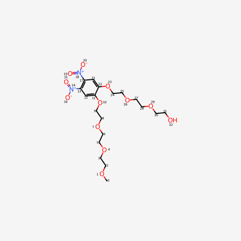 COCCOCCOCCOc1cc([N+](=O)[O-])c([N+](=O)[O-])cc1OCCOCCOCCO